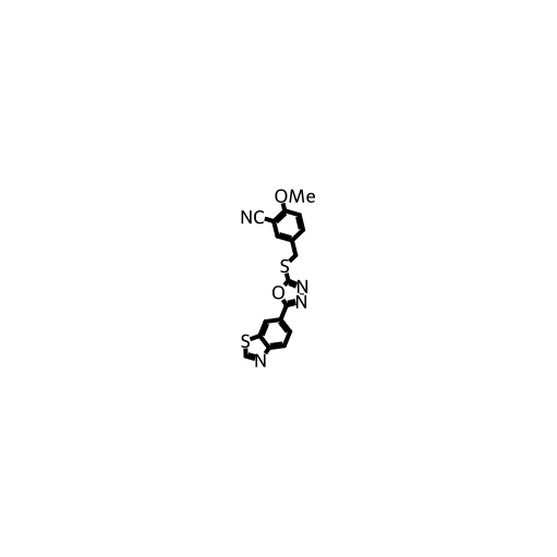 COc1ccc(CSc2nnc(-c3ccc4ncsc4c3)o2)cc1C#N